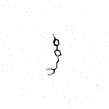 OCC(O)CCCN1CCC(c2ccc(F)cc2)CC1